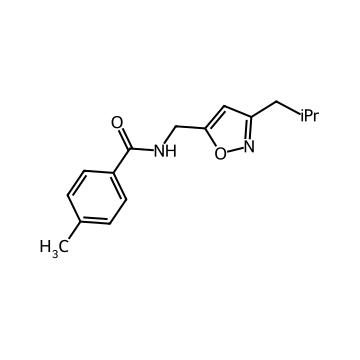 Cc1ccc(C(=O)NCc2cc(CC(C)C)no2)cc1